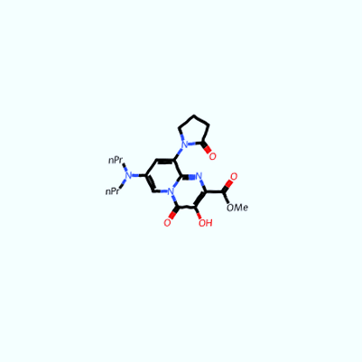 CCCN(CCC)c1cc(N2CCCC2=O)c2nc(C(=O)OC)c(O)c(=O)n2c1